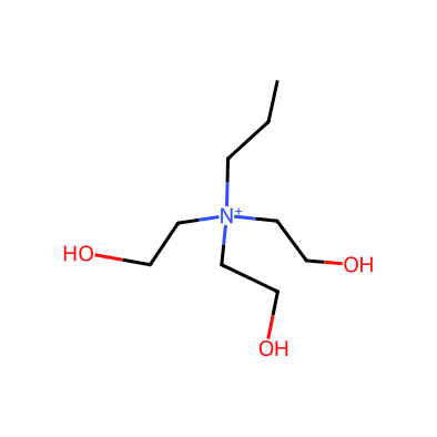 CCC[N+](CCO)(CCO)CCO